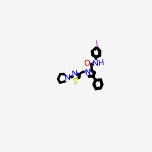 O=C(Nc1ccc(I)cc1)c1cc(-c2ccccc2)cn1Cc1csc(N2CCCCC2)n1